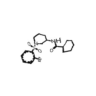 O=C(NC1CCCN(S(=O)(=O)c2ccccc2Br)C1)C1CCCCC1